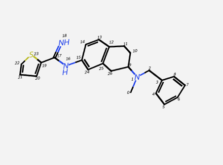 CN(Cc1ccccc1)C1CCc2ccc(NC(=N)c3cccs3)cc2C1